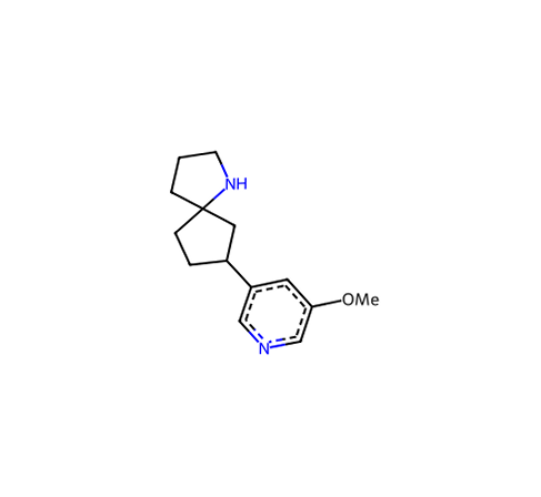 COc1cncc(C2CCC3(CCCN3)C2)c1